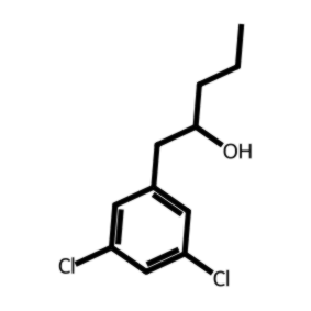 CCCC(O)Cc1cc(Cl)cc(Cl)c1